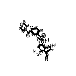 Cc1ccc(NS(=O)(=O)c2cccc(C(=O)N3CCOCC3)c2)c2[nH]cc(C#N)c12